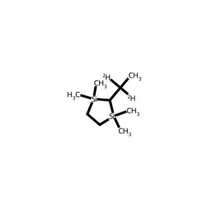 [2H]C([2H])(C)C1[Si](C)(C)CC[Si]1(C)C